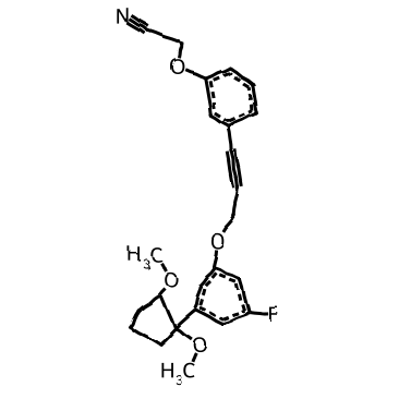 COC1CCCC1(OC)c1cc(F)cc(OCC#Cc2cccc(OCC#N)c2)c1